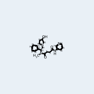 CN(C(=O)CCC(=O)Nc1cccnc1)[C@H](CN1CCC(O)C1)c1ccccc1